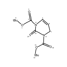 CC(C)(C)OC(=O)N1C=CCN(C(=O)OC(C)(C)C)C1=S